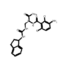 COC(=O)[C@H](CNC(=O)NC1CCc2ccccc21)NC(=O)c1c(Cl)ccc(N)c1Cl